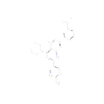 CC(=O)N(C)c1cccc(-c2cnc3c(N4CCOCC4)nc(-c4cnc(N)nc4)nc3c2)c1